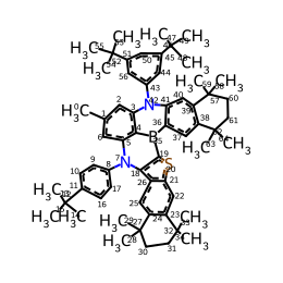 Cc1cc2c3c(c1)N(c1ccc(C(C)(C)C)cc1)c1c(sc4cc5c(cc14)C(C)(C)CCC5(C)C)B3c1cc3c(cc1N2c1cc(C(C)(C)C)cc(C(C)(C)C)c1)C(C)(C)CCC3(C)C